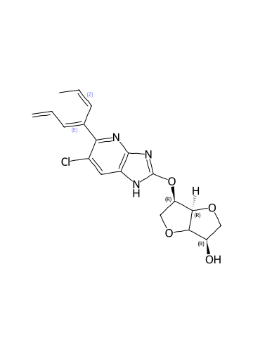 C=C/C=C(\C=C/C)c1nc2nc(O[C@@H]3COC4[C@H](O)CO[C@@H]43)[nH]c2cc1Cl